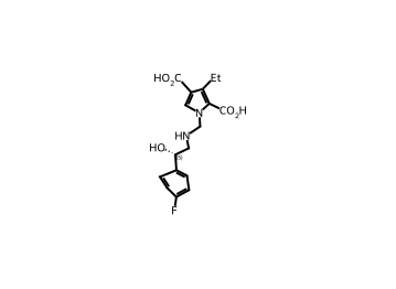 CCc1c(C(=O)O)cn(CNC[C@@H](O)c2ccc(F)cc2)c1C(=O)O